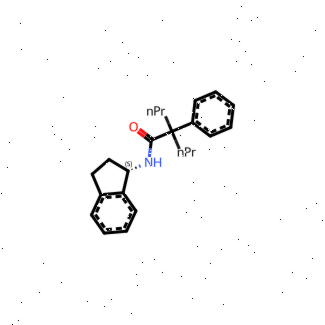 CCCC(CCC)(C(=O)N[C@H]1CCc2ccccc21)c1ccccc1